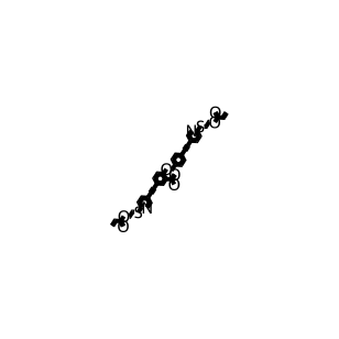 C=CC(=O)OCCSc1ccc(C#Cc2ccc(COc3ccc(C#Cc4ccc(SCCOC(=O)C=C)nc4)cc3C(=O)OC)cc2)cn1